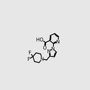 O=C(O)c1cccnc1-n1ccc(CN2CCC(F)(F)CC2)n1